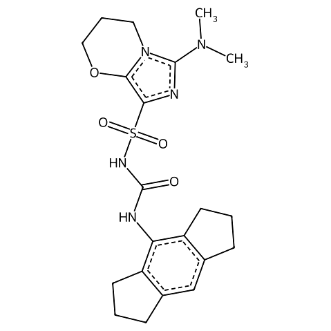 CN(C)c1nc(S(=O)(=O)NC(=O)Nc2c3c(cc4c2CCC4)CCC3)c2n1CCCO2